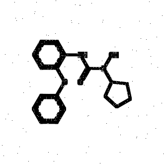 O=C(Nc1ccccc1Oc1ccccc1)N(O)C1CCCC1